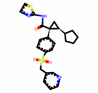 O=C(Nc1nccs1)[C@]1(c2ccc(S(=O)(=O)Cc3cccnc3)cc2)C[C@H]1C1CCCC1